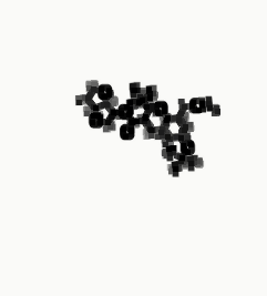 CCc1cc(OC(F)(F)F)cc2c1OC(C(F)(F)F)C(C(=O)OC1COC3CCOC31)=C2